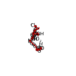 CC1(C)CCC(CN2CCN(c3ccc(C(=O)NS(=O)(=O)c4ccc(NCc5cn(CCOCCOCCOCC#Cc6cccc7c6C(=O)N(C6CCC(=O)NC6=O)C7=O)nn5)c([N+](=O)[O-])c4)c(Oc4cnc5[nH]ccc5c4)c3)CC2)=C(c2ccc(Cl)cc2)C1